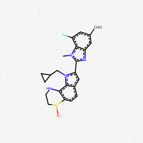 Cn1c(-c2cc3ccc4c(c3n2CC2CC2)NCC[S+]4[O-])nc2cc(C=O)cc(F)c21